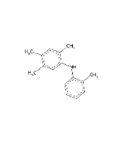 Cc1cc(C)c(Nc2ccccc2C)cc1C